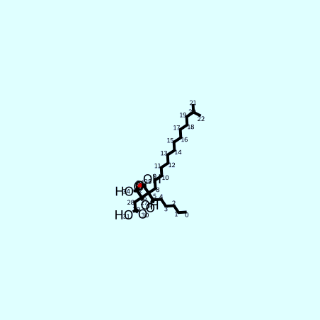 CCCCCC(=O)C(CCCCCCCCCCCCC(C)C)(C(=O)O)C(O)(CC(=O)O)C(=O)O